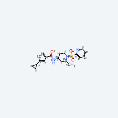 C[C@H]1C[C@@H](NC(=O)c2cc(C3CC3)on2)CCN1S(=O)(=O)c1ccccn1